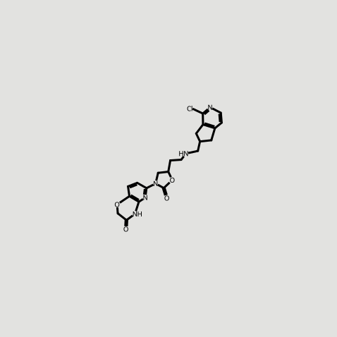 O=C1COc2ccc(N3CC(CCNCC4Cc5ccnc(Cl)c5C4)OC3=O)nc2N1